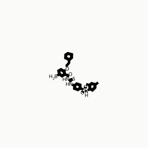 Bc1ccc(OCCc2ccccc2)c(C(=O)NC(=S)Nc2ccc(S(=O)(=O)Nc3ccc(C)cc3C)cc2)c1